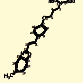 CCCCN(CCCC)CCCOc1ccc(/C=C/c2nc3cc(C)ccc3o2)cc1